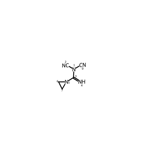 N#CN(C#N)C(=N)N1CC1